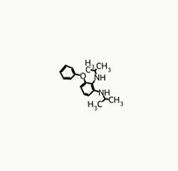 CC(C)Nc1cccc(Oc2ccccc2)c1NC(C)C